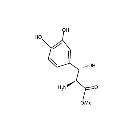 COC(=O)[C@@H](N)[C@@H](O)c1ccc(O)c(O)c1